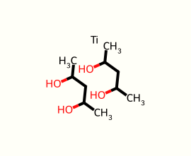 CC(O)CC(C)O.CC(O)CC(C)O.[Ti]